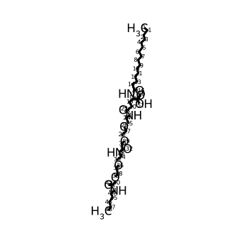 CCCCCCCCCCCCCCCC(=O)NC(CCC(=O)NCCOCCOCC(=O)NCCOCCOCC(=O)NCCCCC)C(=O)O